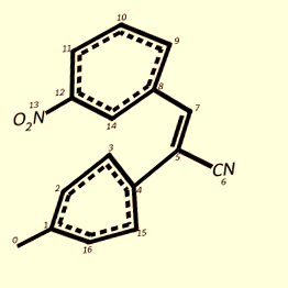 Cc1ccc(/C(C#N)=C\c2cccc([N+](=O)[O-])c2)cc1